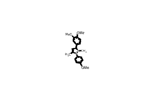 COc1ccc(N2C(C)=CC(c3ccc(OC)c(OC)c3)N2C)cc1